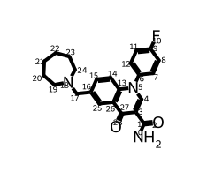 NC(=O)c1cn(-c2ccc(F)cc2)c2ccc(CN3CCCCCC3)cc2c1=O